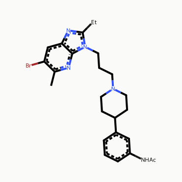 CCc1nc2cc(Br)c(C)nc2n1CCCN1CCC(c2cccc(NC(C)=O)c2)CC1